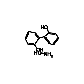 NO.Oc1ccccc1-c1ccccc1O